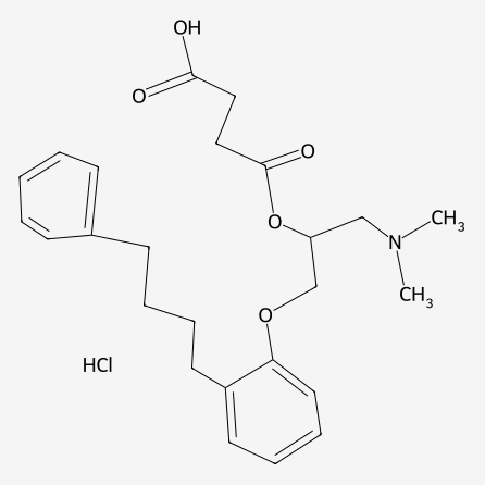 CN(C)CC(COc1ccccc1CCCCc1ccccc1)OC(=O)CCC(=O)O.Cl